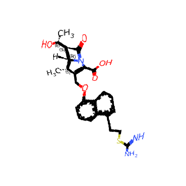 C[C@@H](O)[C@H]1C(=O)N2C(C(=O)O)=C(COc3cccc4c(CCSC(=N)N)cccc34)[C@H](C)[C@H]12